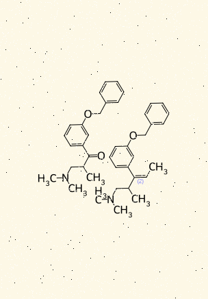 C/C=C(\c1cccc(OCc2ccccc2)c1)C(C)CN(C)C.CC(CN(C)C)C(=O)c1cccc(OCc2ccccc2)c1